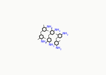 Cc1cc(Cc2cc(C)c(N)c(C)c2)cc(C)c1N.Cc1cc(Cc2ccc(N)c(C)c2)ccc1N.Cc1cc(N)ccc1Cc1ccc(N)cc1C